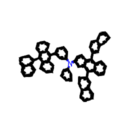 c1ccc(N(c2cccc(-c3c4ccccc4c(-c4cccc5ccccc45)c4ccccc34)c2)c2ccc3c(-c4ccc5ccccc5c4)c4ccccc4c(-c4ccc5ccccc5c4)c3c2)cc1